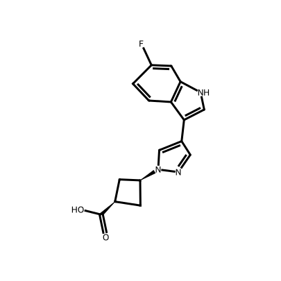 O=C(O)[C@H]1C[C@@H](n2cc(-c3c[nH]c4cc(F)ccc34)cn2)C1